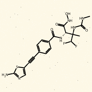 CNC(=O)NC(C)(C(F)F)[C@H](NC(=O)c1ccc(C#Cc2cnc(N)s2)cc1)C(=O)NO